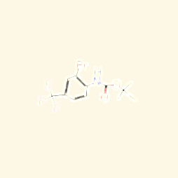 CC(C)(C)OC(=O)Nc1ccc(C(F)(F)F)cc1Br